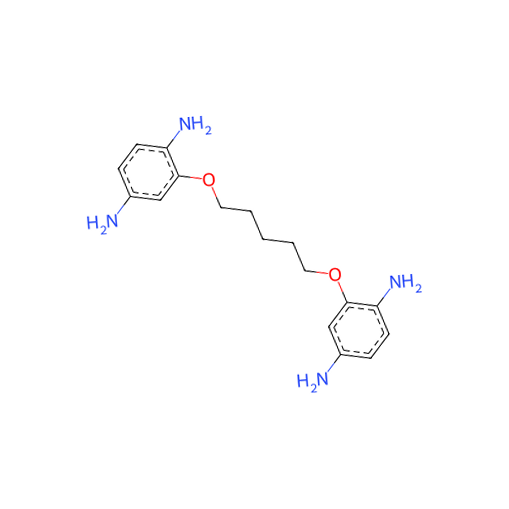 Nc1ccc(N)c(OCCCCCOc2cc(N)ccc2N)c1